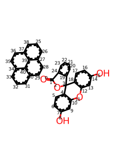 O=C1OC2(c3ccc(O)cc3Oc3cc(O)ccc32)c2ccccc21.c1cc2ccc3cccc4ccc(c1)c2c34